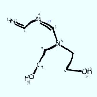 N=C/N=C\N(CCO)CCO